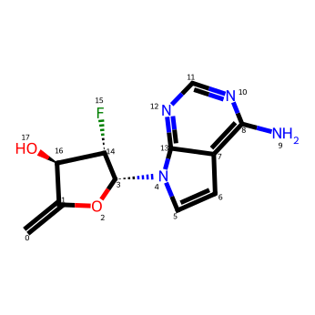 C=C1O[C@@H](n2ccc3c(N)ncnc32)[C@@H](F)[C@@H]1O